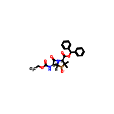 CC1(C)[C@H](C(=O)OC(c2ccccc2)c2ccccc2)N2C(=O)[C@@H](NC(=O)OCC(Cl)(Cl)Cl)[C@H]2[S+]1[O-]